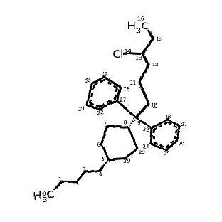 CCCCC[C@H]1CC[C@H](C(CCCC(Cl)CC)(c2ccccc2)c2ccccc2)CC1